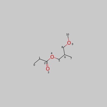 CCC(=O)OCC(C)COC